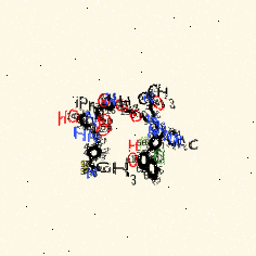 CC(=O)N1CCN(c2nc(N(CCOCCOc3cc([C@@H](C(=O)N4C[C@H](O)C[C@H]4C(=O)NCc4ccc(-c5scnc5C)cc4)C(C)C)on3)CCC(=O)N(C)C)nc3c(F)c(-c4cc(O)cc5ccccc45)c(Cl)cc23)CC1